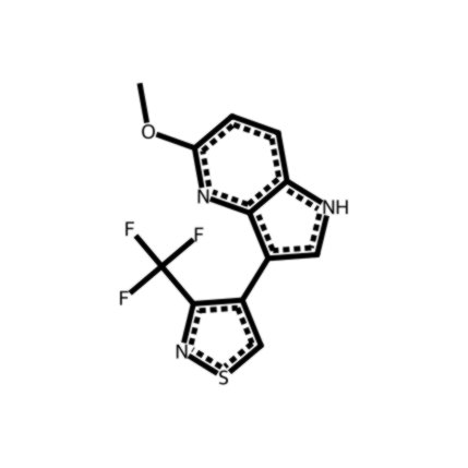 COc1ccc2[nH]cc(-c3csnc3C(F)(F)F)c2n1